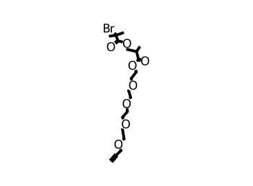 C#CCOCCOCCOCCOCCOC(=O)C(C)COC(=O)C(C)(C)Br